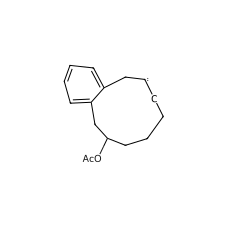 CC(=O)OC1CCCC[C]Cc2ccccc2C1